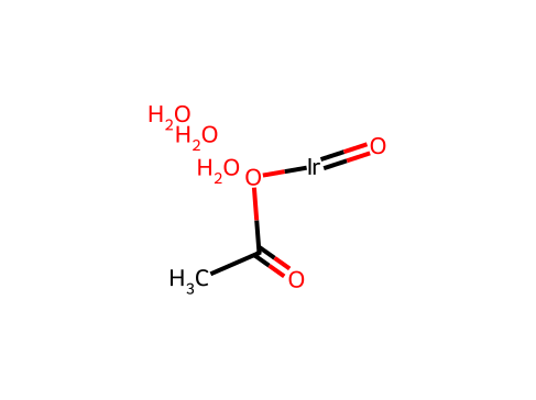 CC(=O)[O][Ir]=[O].O.O.O